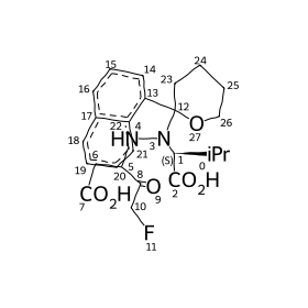 CC(C)[C@@H](C(=O)O)N(NC(CC(=O)O)C(=O)CF)C1(c2cccc3ccccc23)CCCCO1